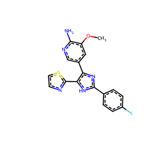 COc1cc(-c2nc(-c3ccc(F)cc3)[nH]c2-c2nccs2)cnc1N